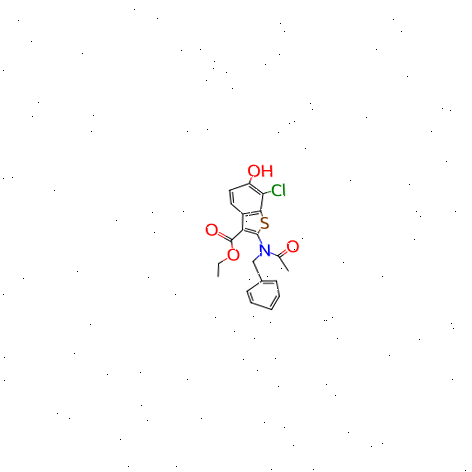 CCOC(=O)c1c(N(Cc2ccccc2)C(C)=O)sc2c(Cl)c(O)ccc12